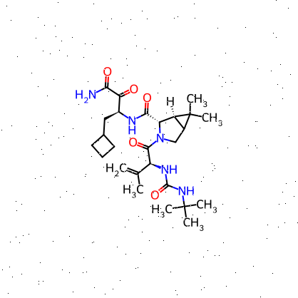 C=C(C)[C@H](NC(=O)NC(C)(C)C)C(=O)N1CC2[C@@H]([C@H]1C(=O)N[C@@H](CC1CCC1)C(=O)C(N)=O)C2(C)C